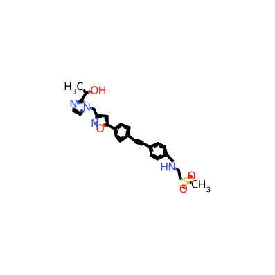 CC(O)c1nccn1Cc1cc(-c2ccc(C#Cc3ccc(CNCCS(C)(=O)=O)cc3)cc2)on1